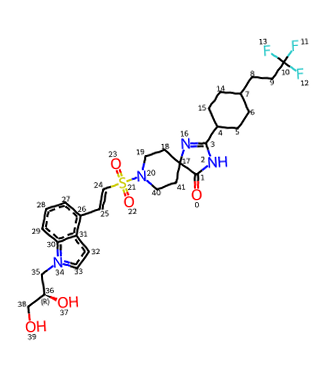 O=C1NC(C2CCC(CCC(F)(F)F)CC2)=NC12CCN(S(=O)(=O)C=Cc1cccc3c1ccn3C[C@@H](O)CO)CC2